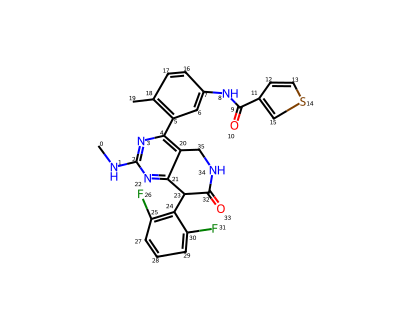 CNc1nc(-c2cc(NC(=O)c3ccsc3)ccc2C)c2c(n1)C(c1c(F)cccc1F)C(=O)NC2